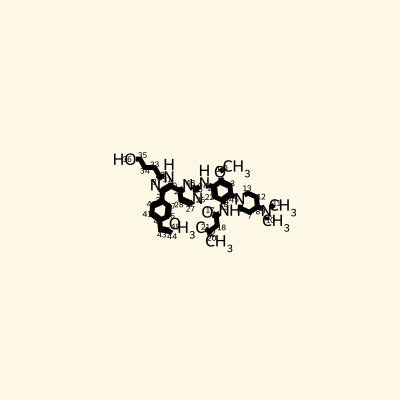 COc1cc(N2CCC(N(C)C)CC2)c(NC(=O)CC(C)C)cc1Nc1nccc(-c2[nH]c(CCCO)nc2-c2ccc3ccoc3c2)n1